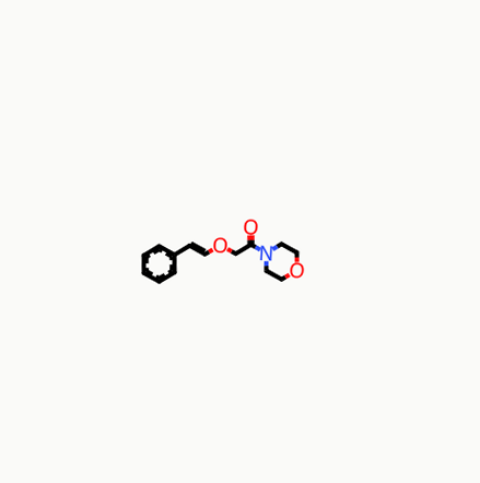 O=C(COC=Cc1ccccc1)N1CCOCC1